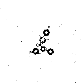 C[C@@H]1CN(C(=O)[C@H]2CN(c3ccccc3)C[C@@H]2c2ccc(F)cc2F)C[C@H](C)N1c1ccc(F)cc1